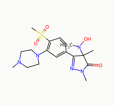 CN1CCN(c2cc(C3=NN(C)C(=O)C3(C)N(O)C(=O)O)ccc2S(C)(=O)=O)CC1